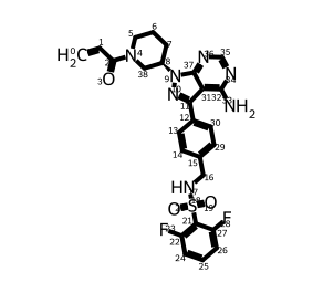 C=CC(=O)N1CCC[C@@H](n2nc(-c3ccc(CNS(=O)(=O)c4c(F)cccc4F)cc3)c3c(N)ncnc32)C1